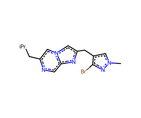 CC(C)Cc1cn2cc(Cc3cn(C)nc3Br)nc2cn1